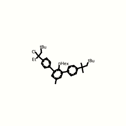 CCCCCCc1c(-c2ccc(C(C)(C)CC(C)(C)C)cc2)cc(C)cc1-c1ccc(C(Cl)(CC)CC(C)(C)C)cc1